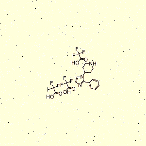 O=C(O)C(F)(F)F.O=C(O)C(F)(F)F.O=C(O)C(F)(F)F.c1ccc(-c2nccn2C2CCNCC2)cc1